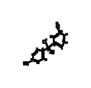 Clc1ccc(C(Cl)(Cl)c2cccc(Cl)c2)cc1